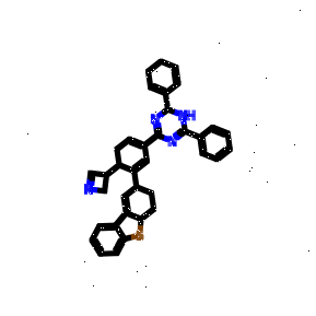 C1=CC(C2N=C(C3=CCC(C4C=NC4)C(C4C=C5c6ccccc6SC5CC4)=C3)N=C(c3ccccc3)N2)=CCC1